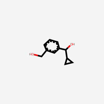 OCc1cccc(C(O)C2CC2)c1